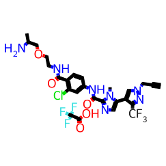 C#CCn1cc(-c2cnc(C(=O)Nc3ccc(C(=O)NCCOCC(C)N)c(Cl)c3)n2C)c(C(F)(F)F)n1.O=C(O)C(F)(F)F